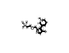 CN1CCC=C(c2c(I)cnn2COCC[Si](C)(C)C)C1